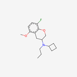 CCCN(C1CCC1)C1COc2c(F)ccc(OC)c2C1